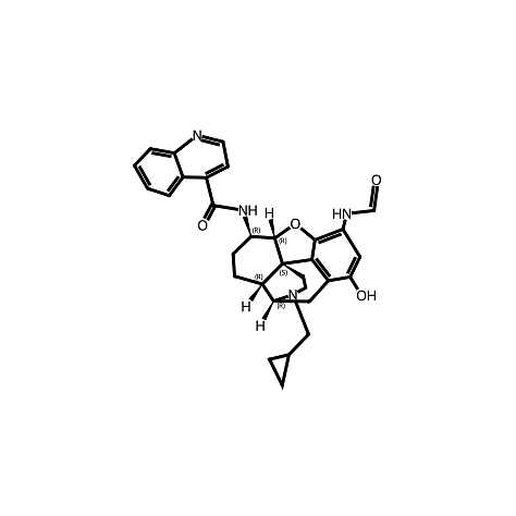 O=CNc1cc(O)c2c3c1O[C@H]1[C@H](NC(=O)c4ccnc5ccccc45)CC[C@H]4[C@@H](C2)N(CC2CC2)CC[C@@]341